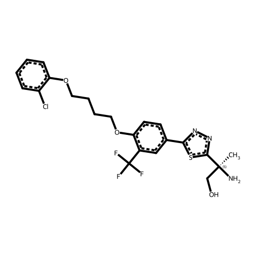 C[C@](N)(CO)c1nnc(-c2ccc(OCCCCOc3ccccc3Cl)c(C(F)(F)F)c2)s1